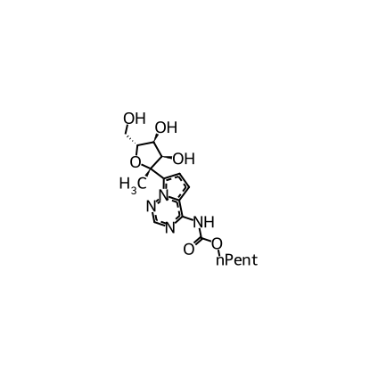 CCCCCOC(=O)Nc1ncnn2c([C@]3(C)O[C@H](CO)[C@@H](O)[C@H]3O)ccc12